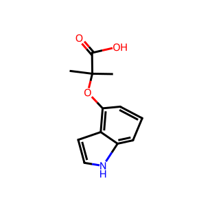 CC(C)(Oc1cccc2[nH]ccc12)C(=O)O